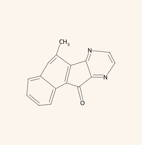 Cc1cc2ccccc2c2c1-c1nccnc1C2=O